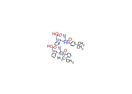 CC(C)c1ccc(NC(=O)/C(C#N)=C/c2cn(CC(=O)O)c3ccccc23)cc1.CC(C)c1ccccc1NC(=O)/C(C#N)=C/c1cn(CC(=O)O)c2ccccc12